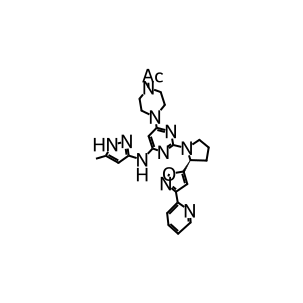 CC(=O)N1CCN(c2cc(Nc3cc(C)[nH]n3)nc(N3CCC[C@H]3c3cc(-c4ccccn4)no3)n2)CC1